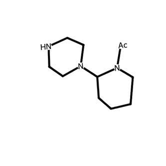 CC(=O)N1CCCCC1N1CCNCC1